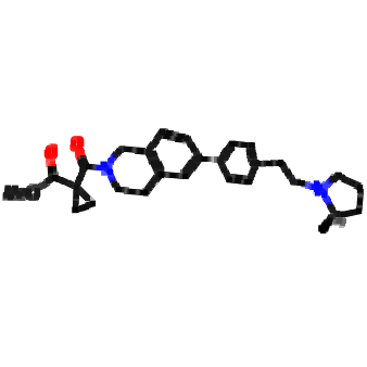 COC(=O)C1(C(=O)N2CCc3cc(-c4ccc(CCN5CCC[C@H]5C)cc4)ccc3C2)CC1